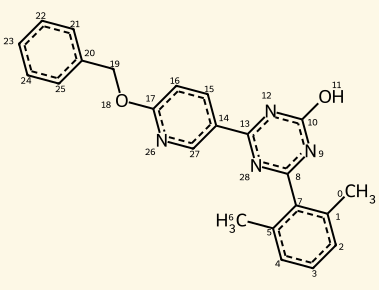 Cc1cccc(C)c1-c1nc(O)nc(-c2ccc(OCc3ccccc3)nc2)n1